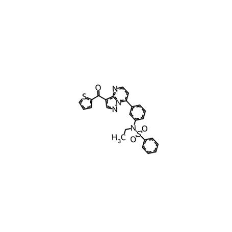 CCN(c1cccc(-c2ccnc3c(C(=O)c4cccs4)cnn23)c1)S(=O)(=O)c1ccccc1